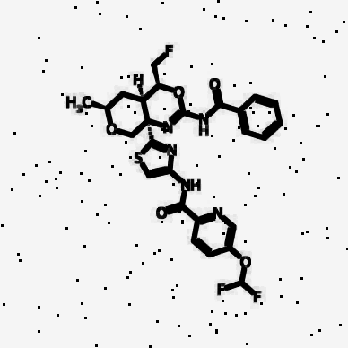 C[C@H]1C[C@H]2[C@@H](CF)OC(NC(=O)c3ccccc3)=N[C@@]2(c2nc(NC(=O)c3ccc(OC(F)F)cn3)cs2)CO1